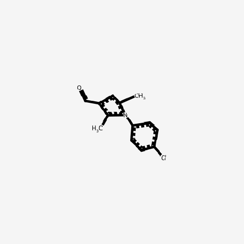 Cc1cc(C=O)c(C)n1-c1ccc(Cl)cc1